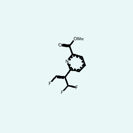 COC(=O)c1cccc(C(=CF)C(F)F)n1